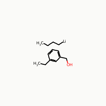 CCc1cccc(CO)c1.[Li][CH2]CCC